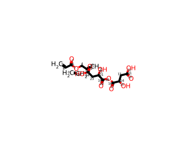 C=C.C=CCOC(=O)C=C.O=C(O)CC(O)C(=O)OC(=O)C(O)CC(=O)O